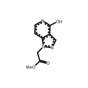 COC(=O)Cn1ncc2c(O)nccc21